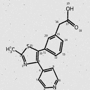 Cc1nc(-c2ccncc2)c(-c2cccc(CC(=O)O)c2)s1